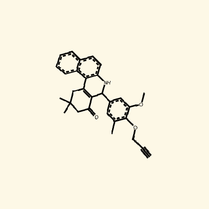 C#CCOc1c(C)cc(C2Nc3ccc4ccccc4c3C3=C2C(=O)CC(C)(C)C3)cc1OC